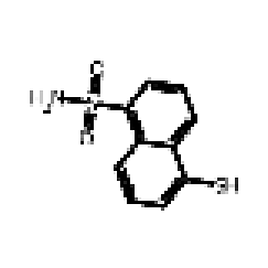 NS(=O)(=O)c1cccc2c(S)cccc12